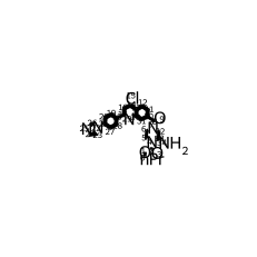 CCCOC(=O)N1CCN(C(=O)c2ccc3c(Cl)cc(-c4ccc(-n5ccnc5)cc4)nc3c2)C[C@H]1N